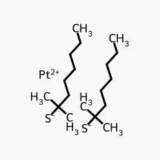 CCCCCCC(C)(C)[S-].CCCCCCC(C)(C)[S-].[Pt+2]